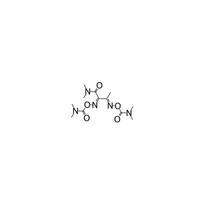 CC(=N\OC(=O)N(C)C)/C(=N/OC(=O)N(C)C)C(=O)N(C)C